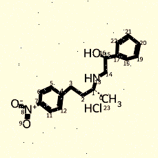 C[C@H](CCc1ccc([N+](=O)[O-])cc1)NC[C@@H](O)c1ccccc1.Cl